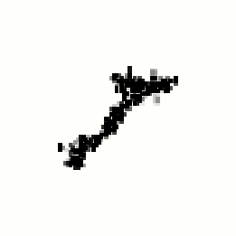 N=C(NCCCCc1ccc(-c2ccc(CCC(=O)NCCN(C[C@H](O)[C@@H](O)[C@H](O)[C@H](O)CO)C[C@H](O)[C@@H](O)[C@H](O)[C@H](O)CO)cc2)cc1)NC(=O)c1nc2cc[nH]c2nc1N